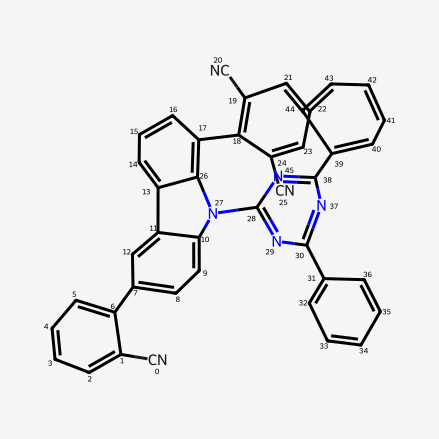 N#Cc1ccccc1-c1ccc2c(c1)c1cccc(-c3c(C#N)cccc3C#N)c1n2-c1nc(-c2ccccc2)nc(-c2ccccc2)n1